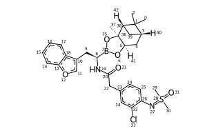 CC1(C)[C@@H]2C[C@H]3OB([C@H](Cc4coc5ccccc45)NC(=O)Cc4ccc(N=S(C)(C)=O)c(Cl)c4)O[C@@]3(C)[C@H]1C2